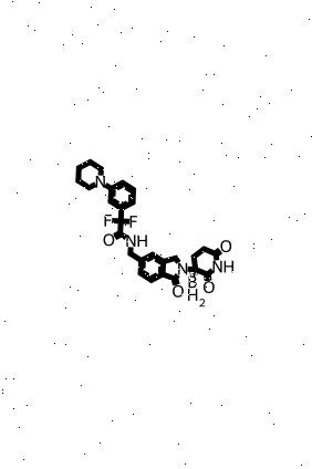 B[C@]1(N2Cc3cc(CNC(=O)C(F)(F)c4cccc(N5CCCCC5)c4)ccc3C2=O)CCC(=O)NC1=O